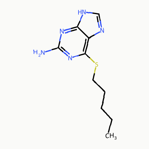 CCCCCSc1nc(N)nc2[nH]cnc12